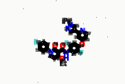 CCOc1ccn(-c2ccc(F)cc2)c(=O)c1C(=O)Nc1cc(F)c(Oc2ccnc(-c3cnn(C(C)C)c3)c2)cc1F